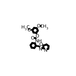 COc1cc(OC)cc(OC(=O)Nc2ccccc2-c2nc3ncccc3o2)c1